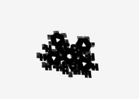 [2H]c1c([2H])c([2H])c2c(c1[2H])c1c(n2-c2ccccc2)C(C)(C)c2c(c3c([2H])c([2H])c([2H])c([2H])c3n2-c2ccccc2)C1(C)C